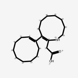 O=C(O)CC1=C(C2=CCCCCCCCC2)CCCCCCCN1